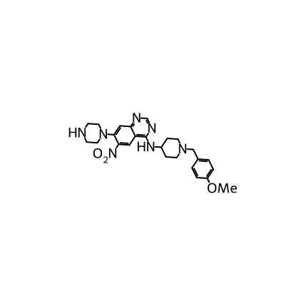 COc1ccc(CN2CCC(Nc3ncnc4cc(N5CCNCC5)c([N+](=O)[O-])cc34)CC2)cc1